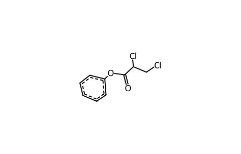 O=C(Oc1ccccc1)C(Cl)CCl